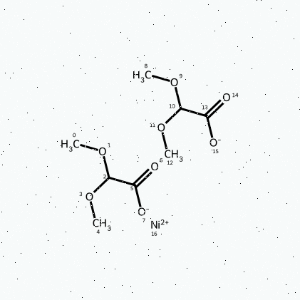 COC(OC)C(=O)[O-].COC(OC)C(=O)[O-].[Ni+2]